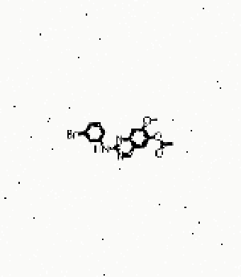 COc1cc2nc(Nc3cccc(Br)c3)ncc2cc1OC(C)=O